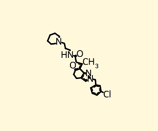 Cc1c(C(=O)NCCCN2CCCCCC2)oc2c1-c1nn(Cc3cccc(Cl)c3)cc1CC2